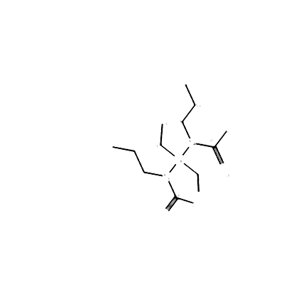 CCCN(C(C)=O)[Si](CC)(CC)N(CCC)C(C)=O